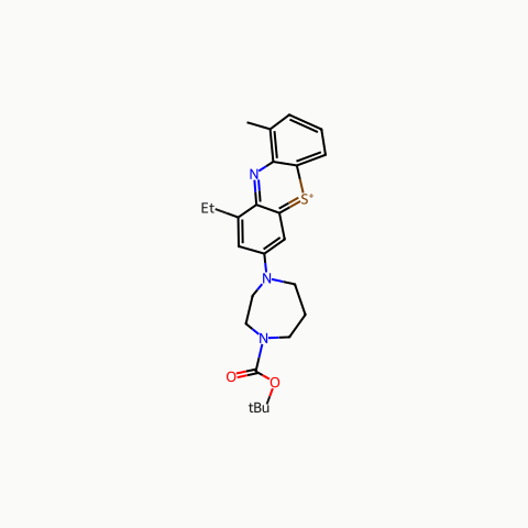 CCc1cc(N2CCCN(C(=O)OC(C)(C)C)CC2)cc2[s+]c3cccc(C)c3nc12